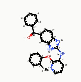 CC(C)(C)c1ccccc1Oc1ncccc1Nc1nc2ccc(C(=O)c3ccccc3)cc2[nH]1